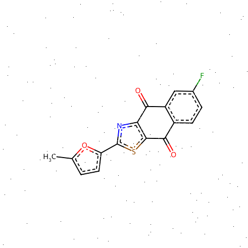 Cc1ccc(-c2nc3c(s2)C(=O)c2ccc(F)cc2C3=O)o1